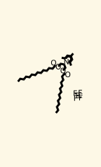 CCCCCCCCCCCCCC(=O)OCC(COC(=O)CCCCCCCCCCCCC)[n+]1c(C)cc(C)cc1C.F[B-](F)(F)F